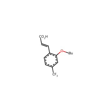 CCC(C)Oc1cc(C(F)(F)F)ccc1/C=C/C(=O)O